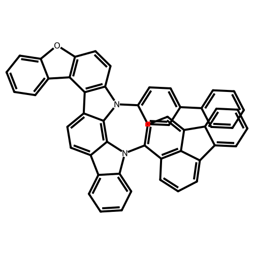 c1ccc(-c2ccc(-n3c4ccc5oc6ccccc6c5c4c4ccc5c6ccccc6n(-c6ccc7c8c(cccc68)-c6ccccc6-7)c5c43)cc2)cc1